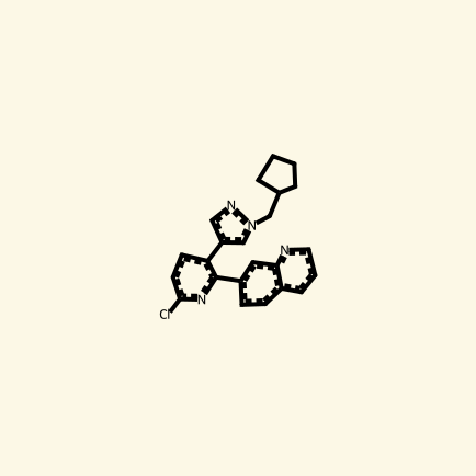 Clc1ccc(-c2cnn(CC3CCCC3)c2)c(-c2ccc3cccnc3c2)n1